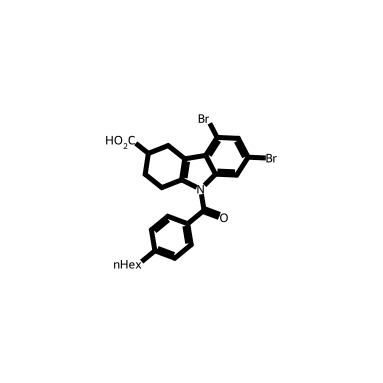 CCCCCCc1ccc(C(=O)n2c3c(c4c(Br)cc(Br)cc42)CC(C(=O)O)CC3)cc1